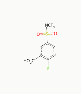 O=C(O)c1cc(S(=O)(=O)NC(F)(F)F)ccc1F